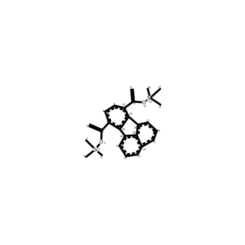 C=C(O[Si](C)(C)C)c1ccc(C(=C)O[Si](C)(C)C)c2c1-c1cccc3cccc-2c13